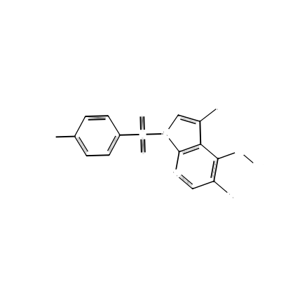 CCCOc1c([N+](=O)[O-])cnc2c1c(I)cn2S(=O)(=O)c1ccc(C)cc1